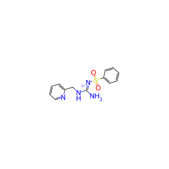 N/C(=N\S(=O)(=O)c1ccccc1)NCc1ccccn1